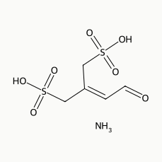 N.O=CC=C(CS(=O)(=O)O)CS(=O)(=O)O